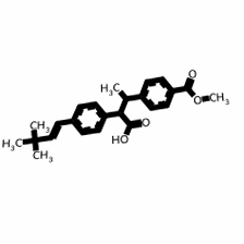 COC(=O)c1ccc(C(C)C(C(=O)O)c2ccc(/C=C/C(C)(C)C)cc2)cc1